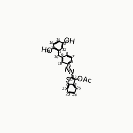 CC(=O)Oc1c(N=Nc2cccc(Cc3cc(O)ccc3O)c2)sc2ccccc12